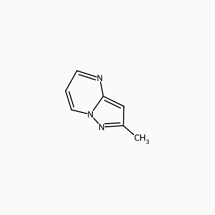 Cc1cc2ncccn2n1